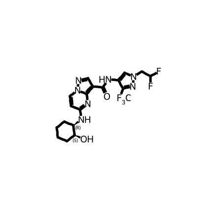 O=C(Nc1cn(CC(F)F)nc1C(F)(F)F)c1cnn2ccc(N[C@@H]3CCCC[C@@H]3O)nc12